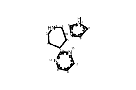 C1CCNCC1.c1c[nH]cn1.c1cncnc1